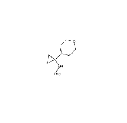 O=CNC1(C2CCOCC2)CC1